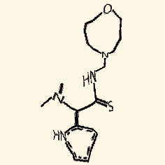 CN(C)C(C(=S)NCN1CCOCC1)c1ccc[nH]1